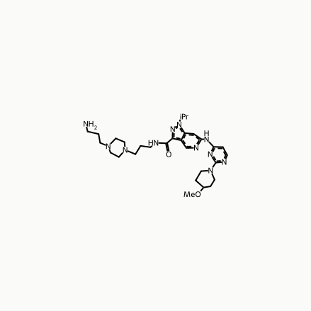 COC1CCN(c2nccc(Nc3cc4c(cn3)c(C(=O)NCCCN3CCN(CCCN)CC3)nn4C(C)C)n2)CC1